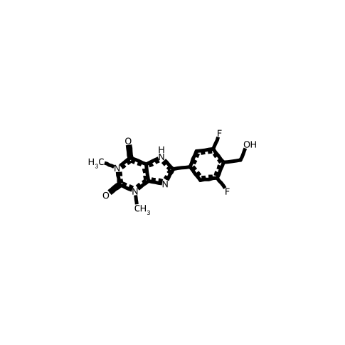 Cn1c(=O)c2[nH]c(-c3cc(F)c(CO)c(F)c3)nc2n(C)c1=O